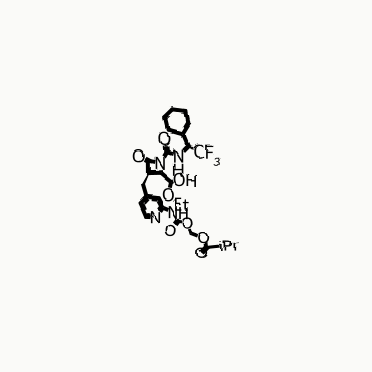 CCOC(O)C1[C@@H](Cc2ccnc(NC(=O)OCOC(=O)C(C)C)c2)C(=O)N1C(=O)N[C@@H](C1CCCCC1)C(F)(F)F